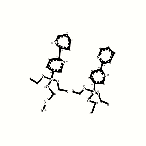 CCO[Si](OCC)(OCC)c1ccc(-c2ccccn2)nc1.CCO[Si](OCC)(OCC)c1ccc(-c2ccccn2)nc1.[Cl][Ir]